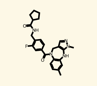 Cc1ccc2c(c1)Nc1c(cnn1C)CN2C(=O)c1ccc(CNC(=O)C2CCCC2)c(F)c1